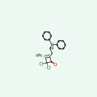 CCC[C@@H]1[C@@H](CC[SiH](c2ccccc2)c2ccccc2)C(=O)C1(Cl)Cl